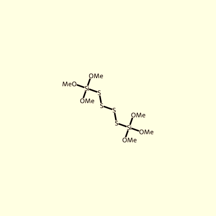 CO[Si](OC)(OC)SSSS[Si](OC)(OC)OC